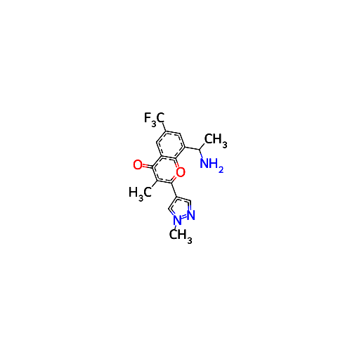 Cc1c(-c2cnn(C)c2)oc2c(C(C)N)cc(C(F)(F)F)cc2c1=O